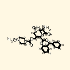 CN1CCN(C(=O)OCC2=C(C(=O)OC(c3ccccc3)c3ccccc3)N3C(=O)C(N)[C@H]3[S+]([O-])C2)CC1